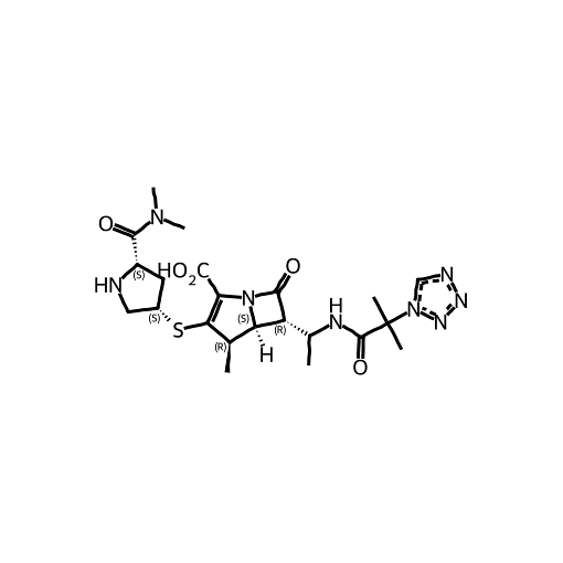 CC(NC(=O)C(C)(C)n1cnnn1)[C@H]1C(=O)N2C(C(=O)O)=C(S[C@@H]3CN[C@H](C(=O)N(C)C)C3)[C@H](C)[C@H]12